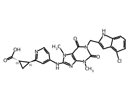 Cn1c(Nc2ccnc([C@H]3C[C@@H]3C(=O)O)c2)nc2c1c(=O)n(Cc1cc3c(Cl)cccc3[nH]1)c(=O)n2C